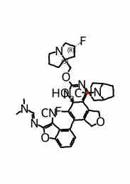 CN(C)C=Nc1oc2cccc(-c3c4c(c5c(N6C7CCC6CN(C(=O)O)C7)nc(OC[C@@]67CCCN6C[C@H](F)C7)nc5c3F)COC4)c2c1C#N